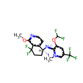 COc1nccc2c1C(F)(F)CC[C@]2(I)/N=c1/c(OC(F)F)cc(C(F)(F)F)cn1C